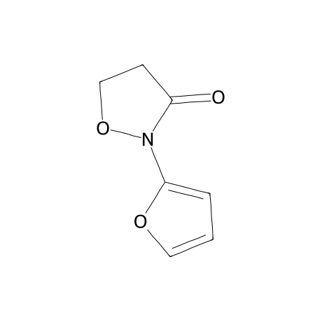 O=C1CCON1c1ccco1